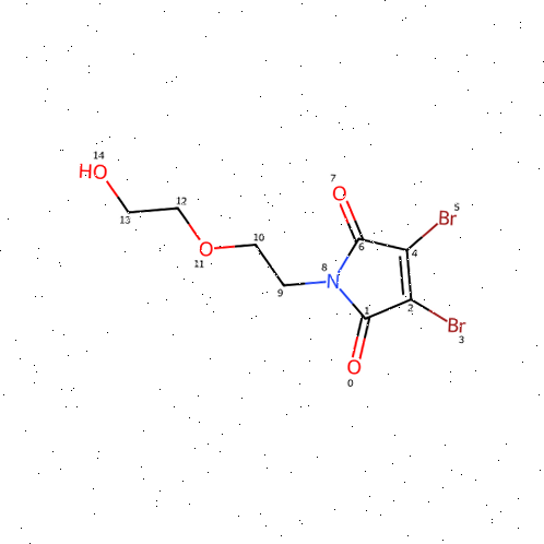 O=C1C(Br)=C(Br)C(=O)N1CCOCCO